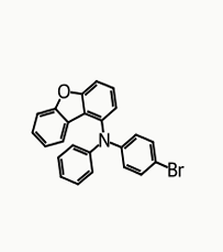 Brc1ccc(N(c2ccccc2)c2cccc3oc4ccccc4c23)cc1